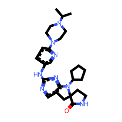 CC(C)N1CCN(c2ccc(Nc3ncc4c(n3)N(C3CCCC3)C3(CCNC3=O)C4)cn2)CC1